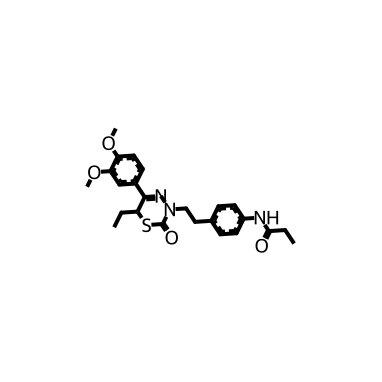 CCC(=O)Nc1ccc(CCN2N=C(c3ccc(OC)c(OC)c3)C(CC)SC2=O)cc1